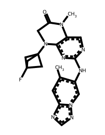 Cc1cc2ncnn2cc1Nc1ncc2c(n1)N(C13CC(F)(C1)C3)CC(=O)N2C